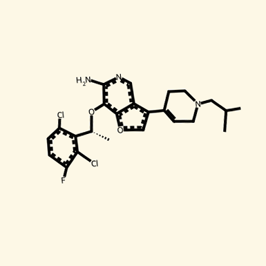 CC(C)CN1CC=C(c2coc3c(O[C@H](C)c4c(Cl)ccc(F)c4Cl)c(N)ncc23)CC1